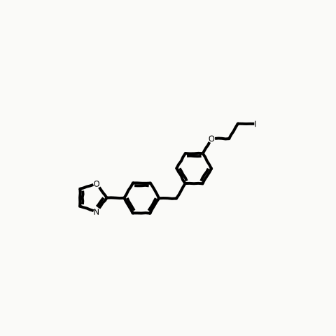 ICCOc1ccc(Cc2ccc(-c3ncco3)cc2)cc1